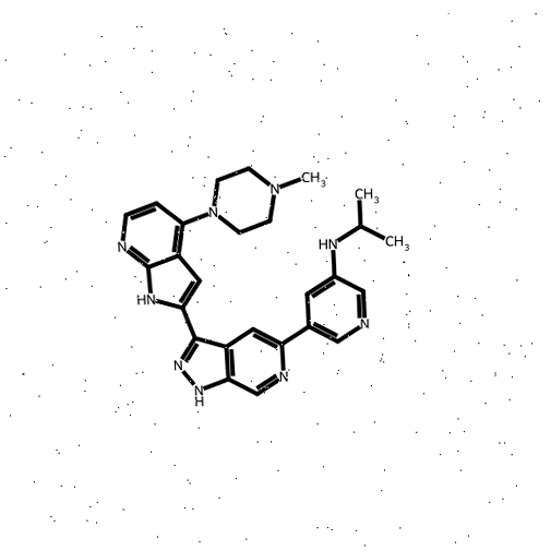 CC(C)Nc1cncc(-c2cc3c(-c4cc5c(N6CCN(C)CC6)ccnc5[nH]4)n[nH]c3cn2)c1